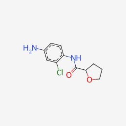 Nc1ccc(NC(=O)C2CCCO2)c(Cl)c1